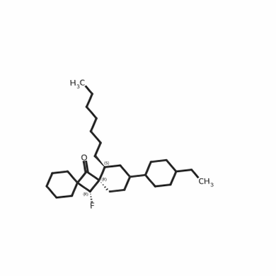 CCCCCCC[C@H]1CC(C2CCC(CC)CC2)CC[C@]12C(=O)C1(CCCCC1)[C@H]2F